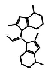 C[CH]=[Ti]([CH]1C(C)=CC2=C1CCCC2C)[CH]1C(C)=CC2=C1CCCC2C